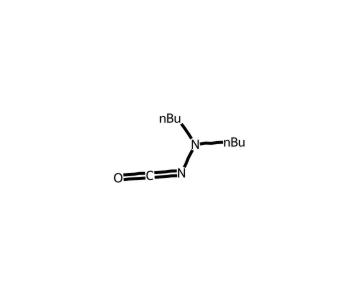 CCCCN(CCCC)N=C=O